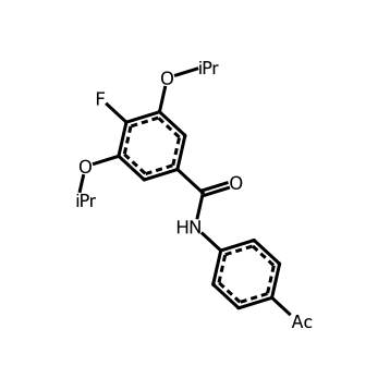 CC(=O)c1ccc(NC(=O)c2cc(OC(C)C)c(F)c(OC(C)C)c2)cc1